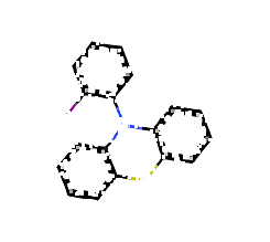 Ic1ccccc1N1c2ccccc2Sc2ccccc21